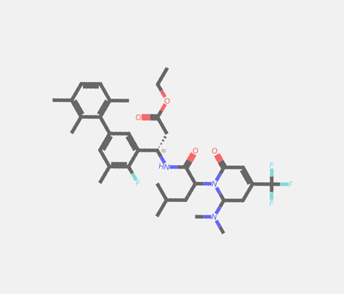 CCOC(=O)C[C@H](NC(=O)C(CC(C)C)N1C(=O)C=C(C(F)(F)F)CC1N(C)C)c1cc(-c2c(C)ccc(C)c2C)cc(C)c1F